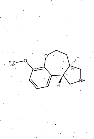 FC(F)(F)Oc1cccc2c1OCC[C@H]1CNC[C@H]21